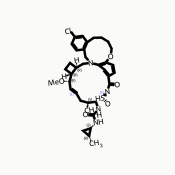 CO[C@H]1/C=C/C[C@H](C)C(NC(=O)N[C@H]2C[C@H]2C)/[SH](=O)=N\C(=O)c2ccc3c(c2)N(Cc2ccc(Cl)cc2CCCCO3)C[C@@H]2CC[C@H]21